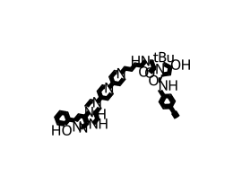 C#Cc1ccc(CNC(=O)[C@@H]2C[C@@H](O)CN2C(=O)[C@@H](NC(=O)CCCN2CCC(N3CCC(N4CCN5c6cc(-c7ccccc7O)nnc6NC[C@H]5C4)CC3)CC2)C(C)(C)C)cc1